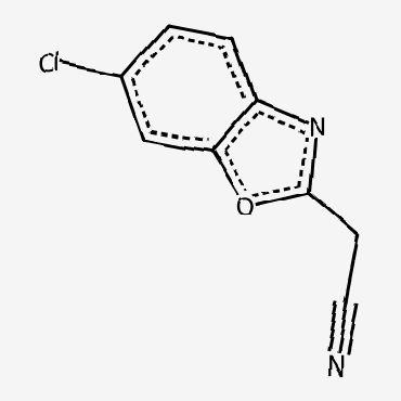 N#CCc1nc2ccc(Cl)cc2o1